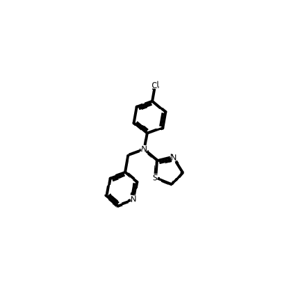 Clc1ccc(N(Cc2cccnc2)C2=NCCS2)cc1